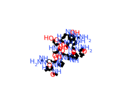 CC(=O)N[C@@H](CC(C)C)C(=O)N[C@@H](CCCNC(=N)N)C(=O)N1CCC[C@H]1C(=O)N[C@@H](Cc1c[nH]c2ccccc12)C(=O)N[C@H](C(=O)N[C@@H](CC(=O)O)C(=O)N[C@@H](CCCCN)C(=O)N[C@@H](Cc1ccc(O)cc1)C(=O)N[C@@H](CCCNC(=N)N)C(=O)N[C@@H](CC(C)C)C(N)=O)[C@@H](C)O